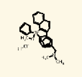 C[O][Ti+2]([c]1ccccc1)([c]1ccccc1)[c]1c(C2=CC(CN(C)C)=CC2)ccc2ccccc12.[Cl-].[Cl-]